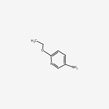 CCOc1ccc(N)[c]n1